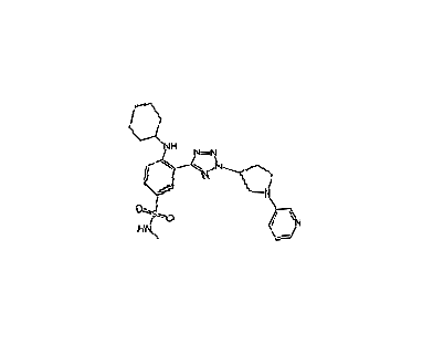 CNS(=O)(=O)c1ccc(NC2CCCCC2)c(-c2nnn(C3CCN(c4cccnc4)C3)n2)c1